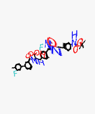 Cc1ccc(-c2cccc(C(=O)NC(Cc3ccc(-c4noc(-c5ccc(NC(=O)OC(C)(C)C)cc5)n4)c(F)c3)C(=O)O)c2)cc1F